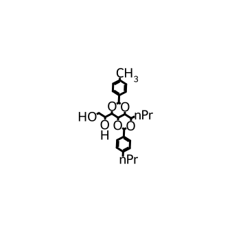 CCCc1ccc(C2OC(CCC)C3OC(c4ccc(C)cc4)OC(C(O)CO)C3O2)cc1